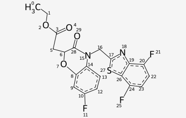 CCOC(=O)CC1Oc2cc(F)ccc2N(Cc2nc3c(F)ccc(F)c3s2)C1=O